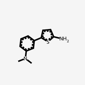 CN(C)c1cccc(-c2ccc(N)s2)c1